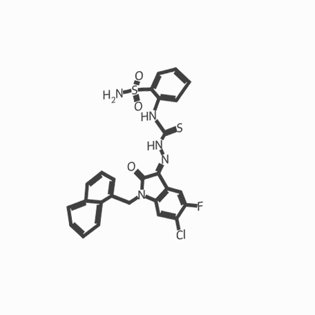 NS(=O)(=O)c1ccccc1NC(=S)NN=C1C(=O)N(Cc2cccc3ccccc23)c2cc(Cl)c(F)cc21